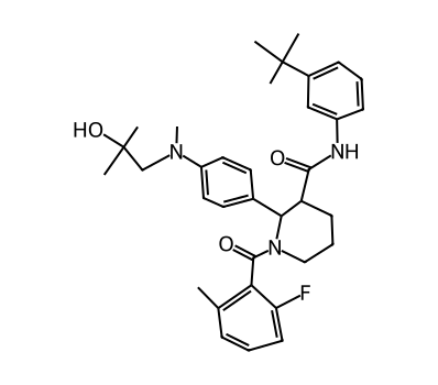 Cc1cccc(F)c1C(=O)N1CCCC(C(=O)Nc2cccc(C(C)(C)C)c2)C1c1ccc(N(C)CC(C)(C)O)cc1